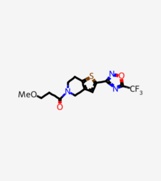 COCCC(=O)N1CCc2sc(-c3noc(C(F)(F)F)n3)cc2C1